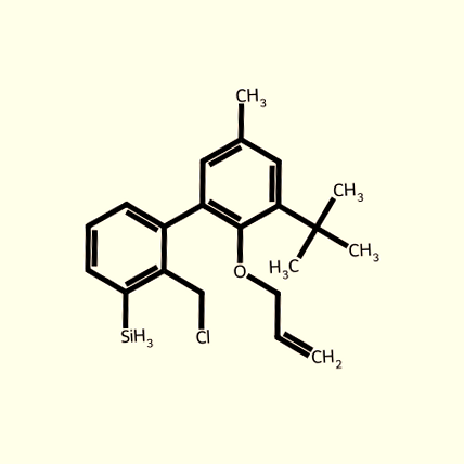 C=CCOc1c(-c2cccc([SiH3])c2CCl)cc(C)cc1C(C)(C)C